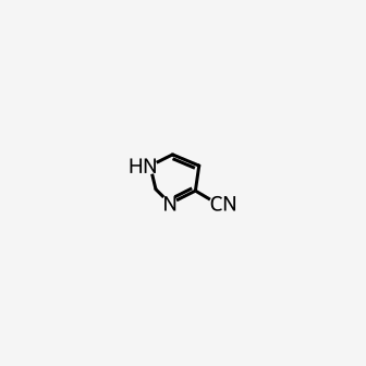 N#CC1=NCNC=C1